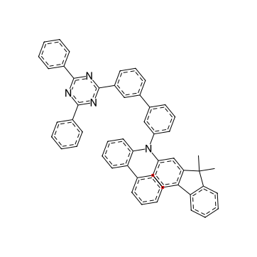 CC1(C)c2ccccc2-c2ccc(N(c3cccc(-c4cccc(-c5nc(-c6ccccc6)nc(-c6ccccc6)n5)c4)c3)c3ccccc3-c3ccccc3)cc21